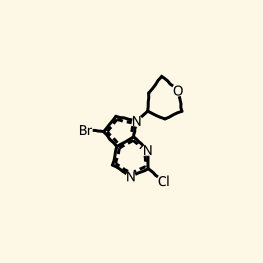 Clc1ncc2c(Br)cn(C3CCOCC3)c2n1